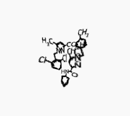 Cc1cc(C(=O)O)nn1Cc1c(Cl)cccc1Cl.Cc1ccc(Cn2nc(C(=O)Nc3ccccc3)cc2C)cc1